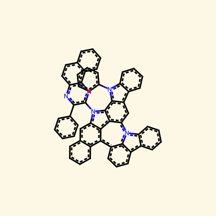 c1ccc(-c2nc3ccc4ccccc4c3nc2-n2c3cc4ccccc4c4c5cccc6c7ccccc7n(c7cc8c9ccccc9n(-c9ccccc9)c8c2c7c43)c65)cc1